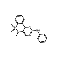 CN1c2cnc(Nc3ccccc3)nc2-c2ccccc2S1(=O)=O